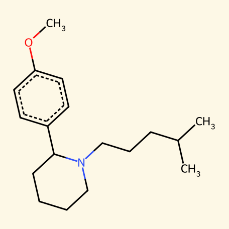 COc1ccc(C2CCCCN2CCCC(C)C)cc1